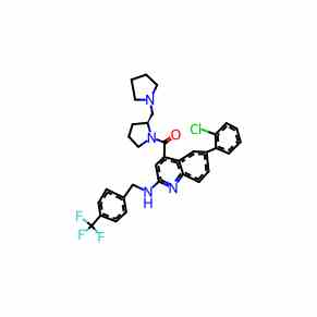 O=C(c1cc(NCc2ccc(C(F)(F)F)cc2)nc2ccc(-c3ccccc3Cl)cc12)N1CCC[C@H]1CN1CCCC1